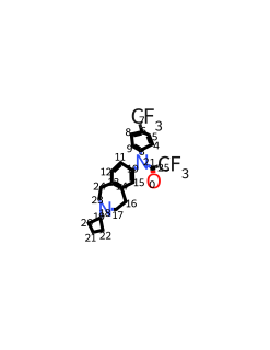 O=C(N(c1ccc(C(F)(F)F)cc1)c1ccc2c(c1)CCN(C1CCC1)CC2)C(F)(F)F